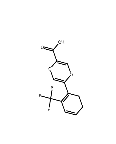 O=C(O)C1=COC(C2=C(C(F)(F)F)C=CCC2)=CO1